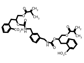 C=C(C)C(=O)OCC(Cc1ccccc1C(=O)O)OC(=O)NCc1cccc(CNC(=O)OC(COC(=O)C(=C)C)Cc2ccccc2C(=O)O)c1